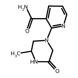 CC1CN(c2ncccc2C(N)=O)CC(=O)N1